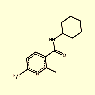 Cc1nc(C(F)(F)F)ccc1C(=O)NC1CCCCC1